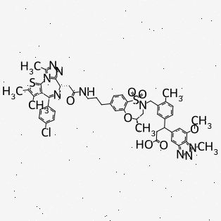 COc1cc(C(CC(=O)O)c2ccc(C)c(CN3C[C@@H](C)Oc4cc(CCCNC(=O)C[C@@H]5N=C(c6ccc(Cl)cc6)c6c(sc(C)c6C)-n6c(C)nnc65)ccc4S3(=O)=O)c2)cc2nnn(C)c12